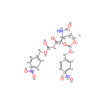 C[C@H](OC(=O)OCc1ccc([N+](=O)[O-])cc1)[C@H]1C(=O)N[C@@H]1CC(=O)CC(=O)OCc1ccc([N+](=O)[O-])cc1